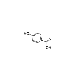 OC(=S)c1ccc(O)cc1